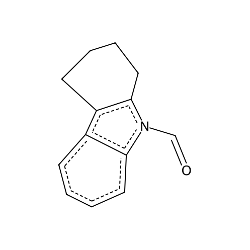 O=Cn1c2c(c3ccccc31)CCCC2